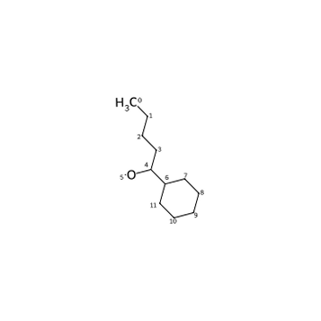 CCCCC([O])C1CCCCC1